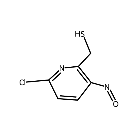 O=Nc1ccc(Cl)nc1CS